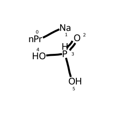 CC[CH2][Na].O=[PH](O)O